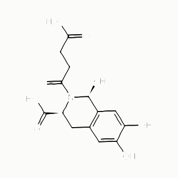 CC(=O)CCC(=S)N1[C@H](C(=O)O)Cc2cc(O)c(O)cc2[C@@H]1C